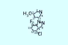 Cc1cncc(-n2ncc3c(Cl)ccc(F)c32)c1